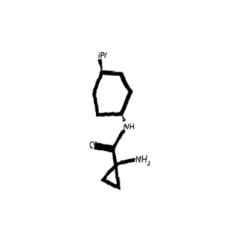 CC(C)[C@H]1CC[C@H](NC(=O)C2(N)CC2)CC1